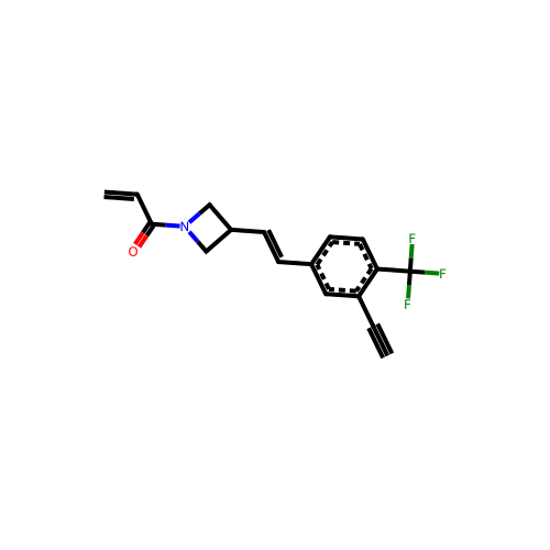 C#Cc1cc(/C=C/C2CN(C(=O)C=C)C2)ccc1C(F)(F)F